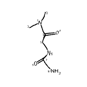 CN(C)C(=O)C[N]C(N)=O